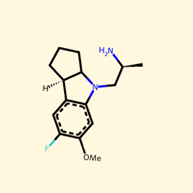 COc1cc2c(cc1F)[C@H]1CCCC1N2C[C@H](C)N